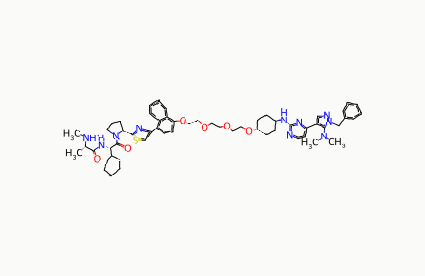 CN[C@@H](C)C(=O)N[C@H](C(=O)N1CCC[C@H]1c1nc(-c2ccc(OCCOCCOCCO[C@H]3CC[C@H](Nc4nccc(-c5cnn(Cc6ccccc6)c5N(C)C)n4)CC3)c3ccccc23)cs1)C1CCCCC1